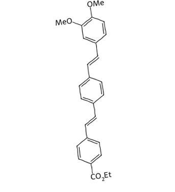 CCOC(=O)c1ccc(C=Cc2ccc(C=Cc3ccc(OC)c(OC)c3)cc2)cc1